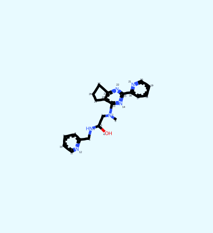 CN(CC(O)NCc1ccccn1)c1nc(-c2ccccn2)nc2c1CCC2